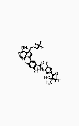 C[C@@](O)(C(=O)N1C[C@H](F)[C@H](NC(=O)c2cc(-c3cc(CN4CC(F)(F)C4)c4c(N)ncnn34)c(F)cc2Cl)C1)C(F)(F)F